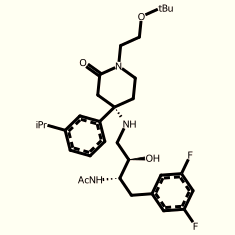 CC(=O)N[C@@H](Cc1cc(F)cc(F)c1)[C@H](O)CN[C@@]1(c2cccc(C(C)C)c2)CCN(CCOC(C)(C)C)C(=O)C1